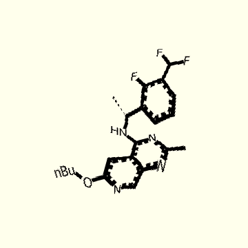 CCCCOc1cc2c(N[C@H](C)c3cccc(C(F)F)c3F)nc(C)nc2cn1